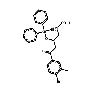 CC(C)(C)[Si](OC(CNC(=O)O)CC(=O)c1ccc(Br)c(F)c1)(c1ccccc1)c1ccccc1